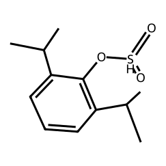 CC(C)c1cccc(C(C)C)c1O[SH](=O)=O